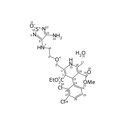 CCOC(=O)C1=C(COCCNc2n[s+]([O-])nc2N)NC(C)=C(C(=O)OC)C1c1cccc(Cl)c1Cl.O